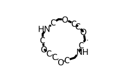 [CH]1CNCCOCCOCCNCCOCCO1